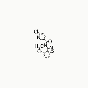 CN(C(=O)c1ccc(Cl)nc1)c1nsc2cccc(Cl)c12